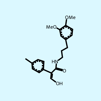 COc1ccc(CCCNC(=O)/C(=C\O)c2ccc(C)cc2)cc1OC